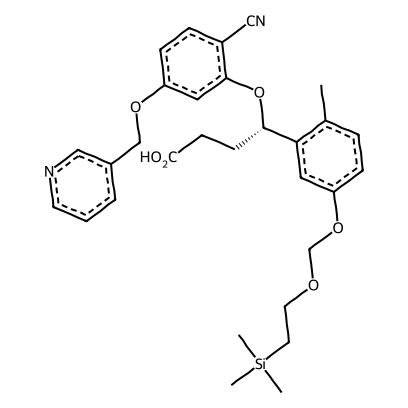 Cc1ccc(OCOCC[Si](C)(C)C)cc1[C@H](CCC(=O)O)Oc1cc(OCc2cccnc2)ccc1C#N